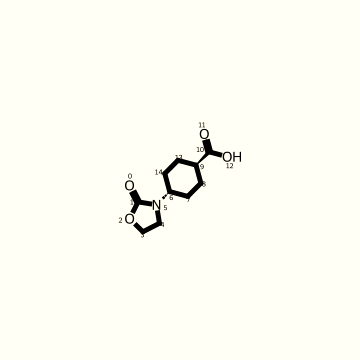 O=C1OCCN1[C@H]1CC[C@H](C(=O)O)CC1